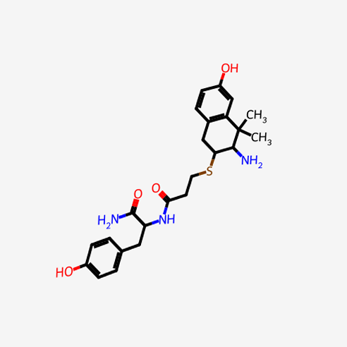 CC1(C)c2cc(O)ccc2CC(SCCC(=O)NC(Cc2ccc(O)cc2)C(N)=O)C1N